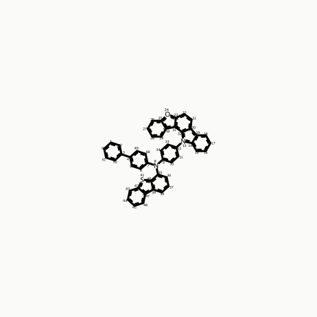 c1ccc(-c2ccc(N(c3ccc(-n4c5ccccc5c5ccc6oc7ccccc7c6c54)cc3)c3cccc4c3sc3ccccc34)cc2)cc1